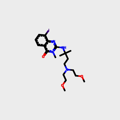 COCCN(CCOC)CCC(C)(C)Nc1nc2c(I)cccc2c(=O)n1C